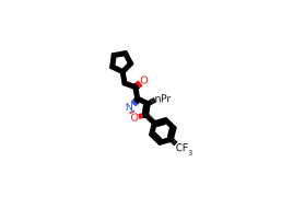 CCCc1c(C(=O)CC2CCCC2)noc1-c1ccc(C(F)(F)F)cc1